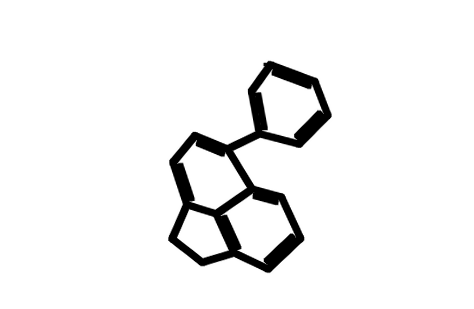 [c]1cccc(-c2ccc3c4c(cccc24)CC3)c1